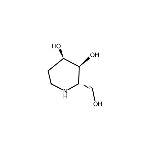 OC[C@@H]1NCC[C@@H](O)[C@H]1O